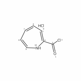 Cl.O=C(Cl)C1=CC=CC=CN1